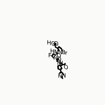 CC(=O)c1nn(CC(=O)N2C[C@H](F)C[C@H]2C(=O)Nc2nc(Br)ccc2CC(=O)O)c2ccc(-c3cnc(C)nc3)cc12